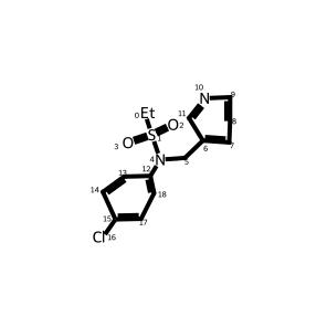 CCS(=O)(=O)N(Cc1cccnc1)c1ccc(Cl)cc1